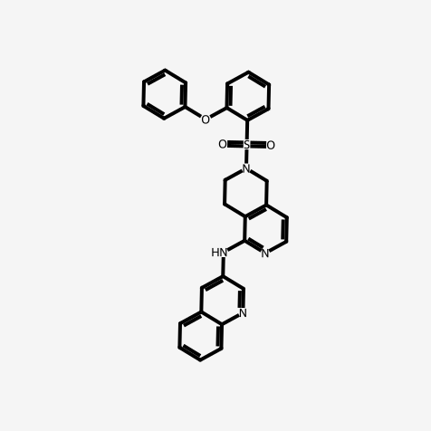 O=S(=O)(c1ccccc1Oc1ccccc1)N1CCc2c(ccnc2Nc2cnc3ccccc3c2)C1